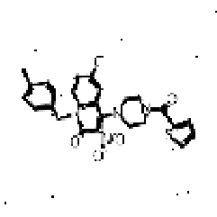 Cc1ccc(Cn2c(=O)c([N+](=O)[O-])c(N3CCN(C(=O)c4cccs4)CC3)c3cc(Cl)ccc32)cc1